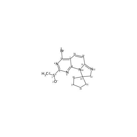 C[S+]([O-])c1nc(Br)c2c(n1)N1C(=NCC13CCCC3)C=C2